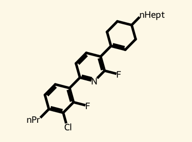 CCCCCCCC1CC=C(c2ccc(-c3ccc(CCC)c(Cl)c3F)nc2F)CC1